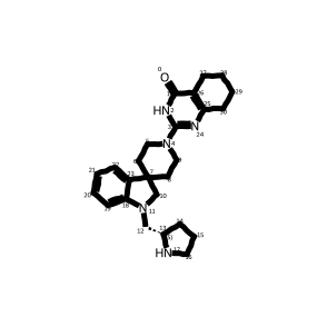 O=c1[nH]c(N2CCC3(CC2)CN(C[C@@H]2CCCN2)c2ccccc23)nc2c1CCCC2